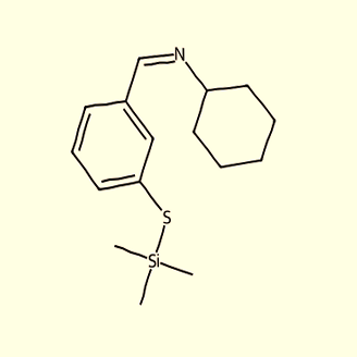 C[Si](C)(C)Sc1cccc(/C=N\C2CCCCC2)c1